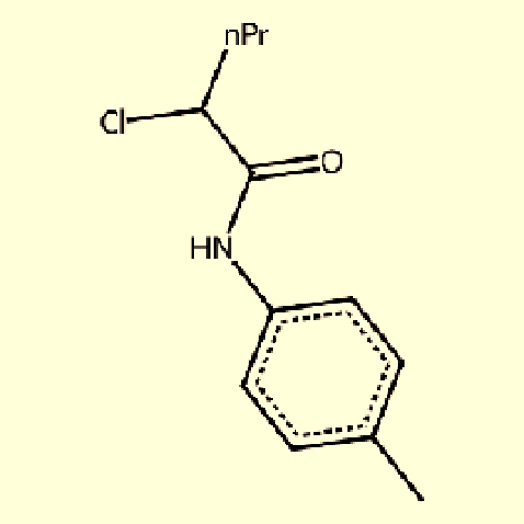 CCCC(Cl)C(=O)Nc1ccc(C)cc1